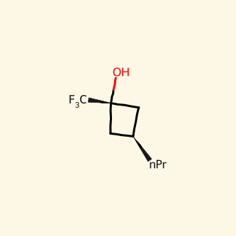 CCC[C@H]1C[C@@](O)(C(F)(F)F)C1